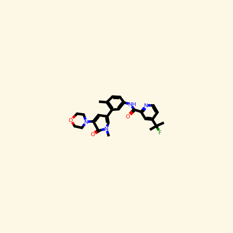 Cc1ccc(NC(=O)c2cc(C(C)(C)F)ccn2)cc1-c1cc(N2CCOCC2)c(=O)n(C)c1